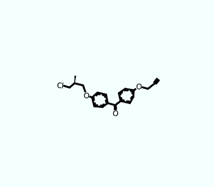 C#CCOc1ccc(C(=O)c2ccc(OC[C@H](C)CCl)cc2)cc1